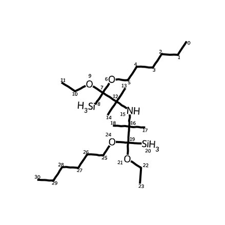 CCCCCCOC([SiH3])(OCC)C(C)(C)NC(C)(C)C([SiH3])(OCC)OCCCCCC